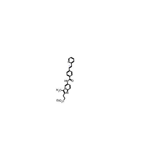 CCOC(=O)CCc1nc2ccc(NC(=O)c3ccc(/C=C/c4ccccn4)cc3)cn2c1C